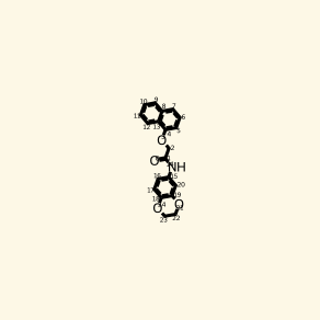 O=C(COc1cccc2ccccc12)Nc1ccc2c(c1)OCCO2